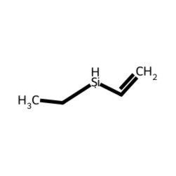 C=C[SiH]CC